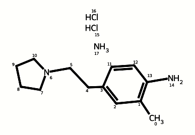 Cc1cc(CCN2CCCC2)ccc1N.Cl.Cl.N